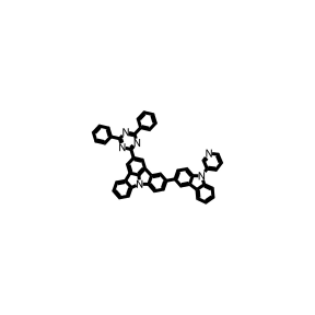 c1ccc(-c2nc(-c3ccccc3)nc(-c3cc4c5ccccc5n5c6ccc(-c7ccc8c(c7)c7ccccc7n8-c7cccnc7)cc6c(c3)c45)n2)cc1